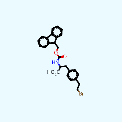 O=C(NC(Cc1ccc(CCBr)cc1)C(=O)O)OCC1c2ccccc2-c2ccccc21